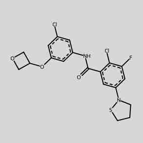 O=C(Nc1cc(Cl)cc(OC2COC2)c1)c1cc(N2CCCS2)cc(F)c1Cl